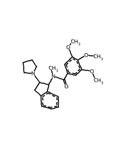 COc1cc(C(=O)N(C)C2c3ccccc3CC2N2CCCC2)cc(OC)c1OC